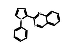 c1ccc(-n2cccc2-c2ncc3ccccc3n2)cc1